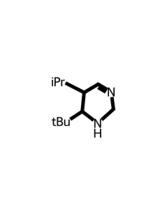 CC(C)C1C=NCNC1C(C)(C)C